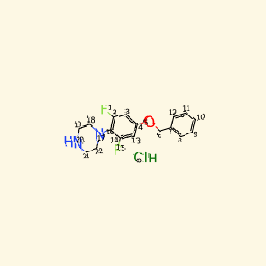 Cl.Fc1cc(OCc2ccccc2)cc(F)c1N1CCNCC1